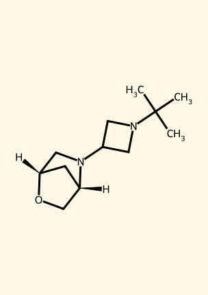 CC(C)(C)N1CC(N2C[C@@H]3C[C@H]2CO3)C1